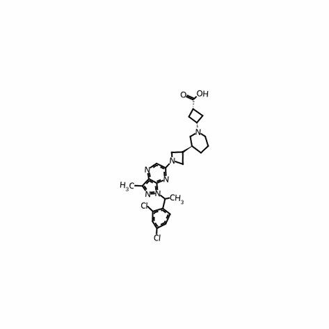 Cc1nn(C(C)c2ccc(Cl)cc2Cl)c2nc(N3CC([C@@H]4CCCN([C@H]5C[C@@H](C(=O)O)C5)C4)C3)cnc12